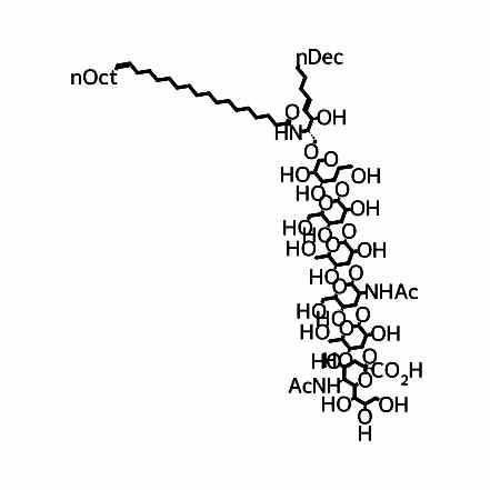 CCCCCCCC/C=C\CCCCCCCCCCCCCCCC(=O)N[C@@H](CO[C@@H]1OC(CO)[C@@H](O[C@@H]2OC(CO)[C@H](O)[C@H](O[C@H]3OC(CO)[C@H](O)[C@H](O[C@@H]4OC(CO)[C@H](O)[C@H](O[C@@H]5OC(CO)[C@H](O)[C@H](O[C@]6(C(=O)O)CC(O)[C@@H](NC(C)=O)C([C@H](O)[C@H](O)CO)O6)C5O)C4NC(C)=O)C3O)C2O)[C@H](O)C1O)[C@H](O)/C=C/CCCCCCCCCCCCC